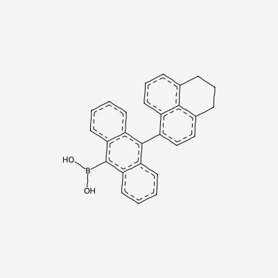 OB(O)c1c2ccccc2c(-c2ccc3c4c(cccc24)CCC3)c2ccccc12